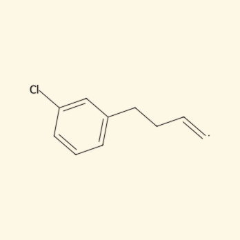 [CH]=CCCc1cccc(Cl)c1